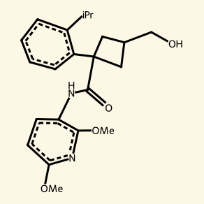 COc1ccc(NC(=O)C2(c3ccccc3C(C)C)CC(CO)C2)c(OC)n1